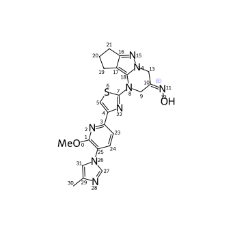 COc1nc(-c2csc(N3C/C(=N\O)Cn4nc5c(c43)CCC5)n2)ccc1-n1cnc(C)c1